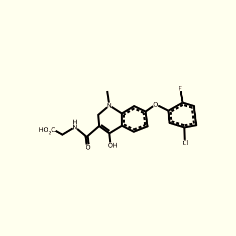 CN1CC(C(=O)NCC(=O)O)=C(O)c2ccc(Oc3cc(Cl)ccc3F)cc21